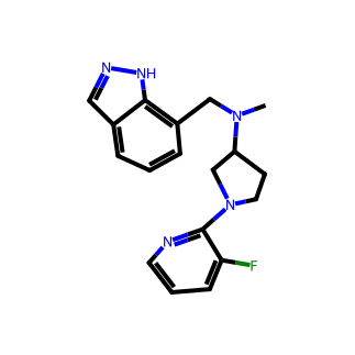 CN(Cc1cccc2cn[nH]c12)C1CCN(c2ncccc2F)C1